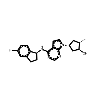 [CH2][C@H]1C[C@@H](n2ccc3c(N[C@H]4CCc5cc(Br)ccc54)ncnc32)C[C@@H]1O